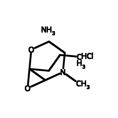 CCCC12OCCN(C)C1O2.Cl.N